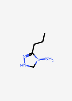 CCCC1=NNCN1N